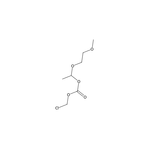 COCCOC(C)OC(=O)OCCl